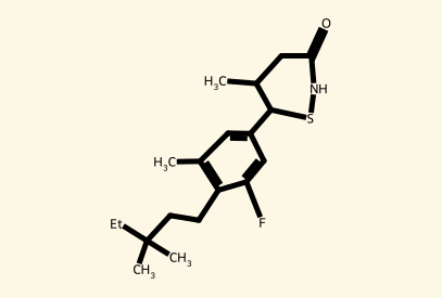 CCC(C)(C)CCc1c(C)cc(C2SNC(=O)CC2C)cc1F